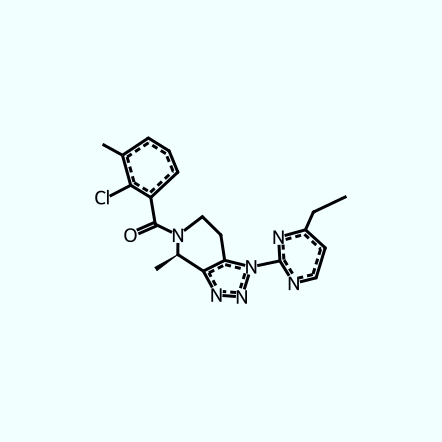 CCc1ccnc(-n2nnc3c2CCN(C(=O)c2cccc(C)c2Cl)[C@@H]3C)n1